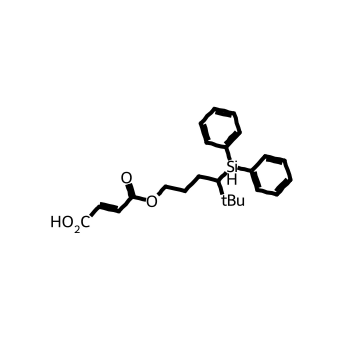 CC(C)(C)C(CCCOC(=O)/C=C/C(=O)O)[SiH](c1ccccc1)c1ccccc1